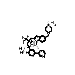 CN1CCN(Cc2ccc3[nH]c(CC(O)(CC(C)(C)c4cc(-c5cccnc5)ccc4O)C(F)(F)F)cc3c2)CC1